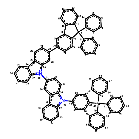 c1ccc(C2(c3ccccc3)c3ccccc3-c3cc(-c4ccc5c6ccccc6n(-c6ccc7c(c6)c6ccccc6n7-c6ccc([Si](c7ccccc7)(c7ccccc7)c7ccccc7)cc6)c5c4)ccc32)cc1